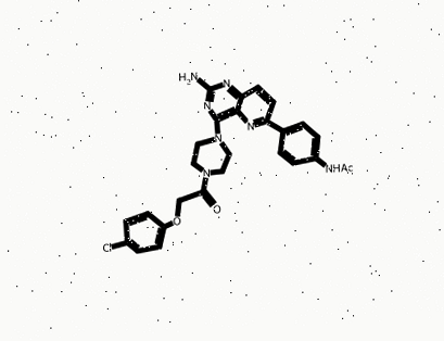 CC(=O)Nc1ccc(-c2ccc3nc(N)nc(N4CCN(C(=O)COc5ccc(Cl)cc5)CC4)c3n2)cc1